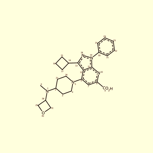 CN(C1CCN(c2cc(C(=O)O)nc3c2c(C2CCC2)nn3-c2ccccc2)CC1)C1COC1